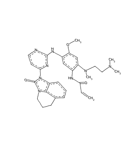 C=CC(=O)Nc1cc(Nc2nccc(-n3c(=O)n4c5c(cccc53)CCC4)n2)c(OC)cc1N(C)CCN(C)C